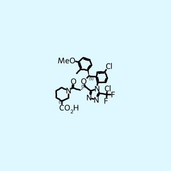 COc1cccc([C@@H]2O[C@@H](CC(=O)N3CCC[C@H](C(=O)O)C3)c3nnc(C(F)(F)Cl)n3-c3ccc(Cl)cc32)c1C